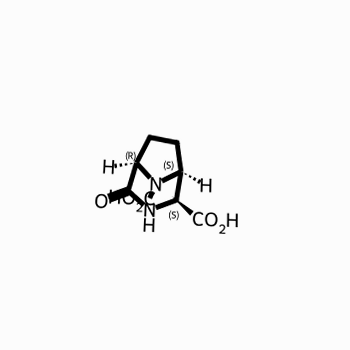 O=C(O)[C@H]1NC(=O)[C@H]2CC[C@@H]1N2C(=O)O